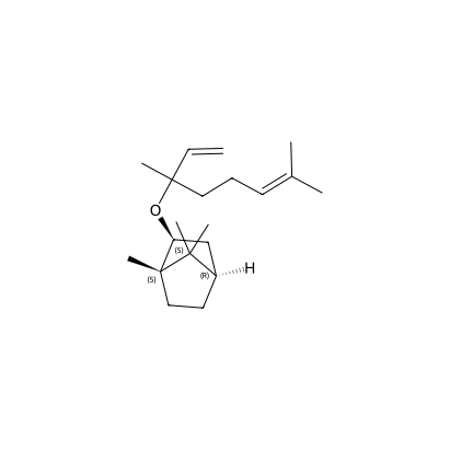 C=CC(C)(CCC=C(C)C)O[C@H]1C[C@H]2CC[C@@]1(C)C2(C)C